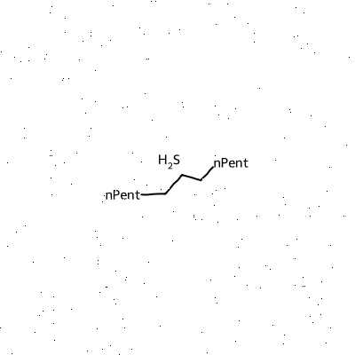 CCCCCCCCCCCCC.S